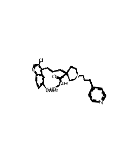 COc1ccc2ncc(Cl)c(CCCC3(C(=O)NO)CCN(CCCc4ccncc4)CC3)c2c1